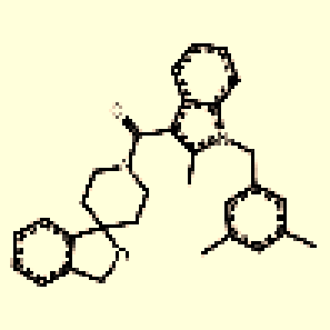 Cc1cc(C)cc(Cn2c(C)c(C(=O)N3CCC4(CC3)OCc3ccccc34)c3ccccc32)c1